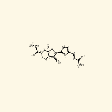 COC(=O)C=Cc1csc(N2C[C@@H]3CN(C(=O)OC(C)(C)C)CCN3C2=O)n1